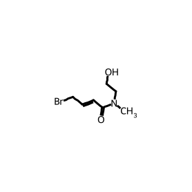 CN(CCO)C(=O)C=CCBr